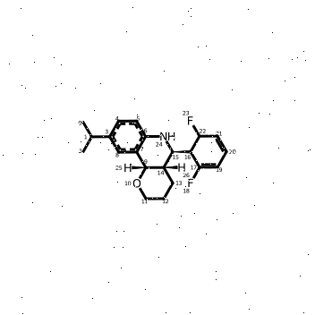 CC(C)c1ccc2c(c1)[C@H]1OCCC[C@H]1[C@H](C1C(F)=CC=CC1F)N2